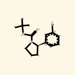 CC(C)(C)OC(=O)N1CCC[C@@H]1c1cccc(Br)c1